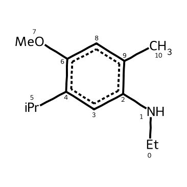 CCNc1cc(C(C)C)c(OC)cc1C